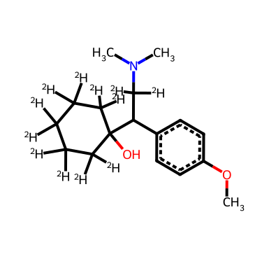 [2H]C([2H])(C(c1ccc(OC)cc1)C1(O)C([2H])([2H])C([2H])([2H])C([2H])([2H])C([2H])([2H])C1([2H])[2H])N(C)C